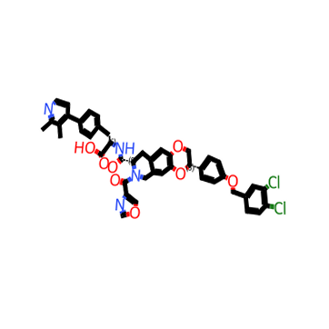 Cc1nccc(-c2ccc(C[C@H](NC(=O)[C@@H]3Cc4cc5c(cc4CN3C(=O)c3cocn3)O[C@@H](c3ccc(OCc4ccc(Cl)c(Cl)c4)cc3)CO5)C(=O)O)cc2)c1C